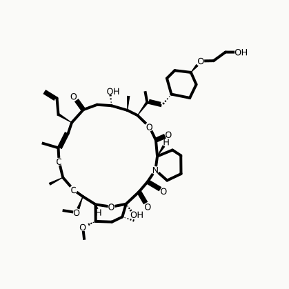 C=CC[C@@H]1/C=C(\C)C[C@H](C)C[C@H](OC)[C@H]2O[C@@](O)(C(=O)C(=O)N3CCCC[C@H]3C(=O)O[C@H](/C(C)=C/[C@H]3CC[C@H](OCCO)CC3)[C@H](C)[C@@H](O)CC1=O)[C@H](C)C[C@@H]2OC